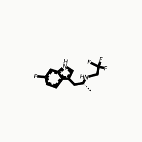 C[C@H](Cc1c[nH]c2cc(F)ccc12)NCC(F)(F)F